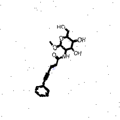 COC1OC(CO)C(O)C(O)C1NC(=O)/C=C/C#Cc1ccccc1